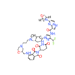 CN(CCCN1CCO[C@H](CNc2cccc3c2C(=O)N(C2CCC(=O)NC2=O)C3=O)C1)C[C@H]1CC[C@H](n2cc(NC(=O)c3cnn4ccc(N5C[C@H]6C[C@@H]5CO6)nc34)c(C(F)F)n2)CC1